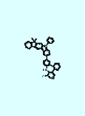 CC1(C)c2ccccc2-c2cc3c4cc(-c5ccc6c(c5)-c5ccccc5-c5cccc(Cl)c5N6)ccc4n(-c4ccccc4)c3cc21